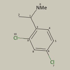 CNC(C)c1ccc(Cl)cc1Cl